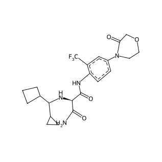 NC(=O)[C@@H](NC(C1CCC1)C1CC1)C(=O)Nc1ccc(N2CCOCC2=O)cc1C(F)(F)F